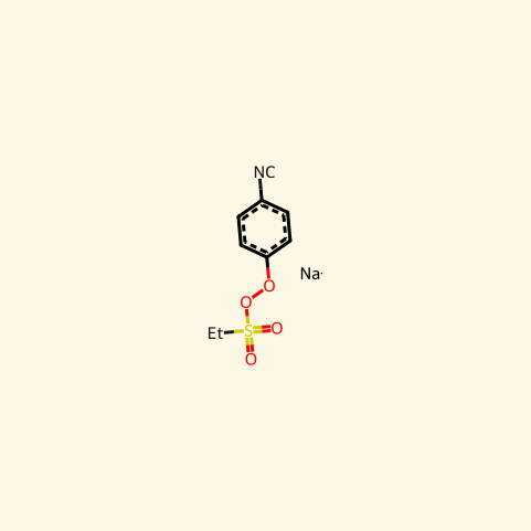 [C-]#[N+]c1ccc(OOS(=O)(=O)CC)cc1.[Na]